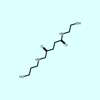 O=C(CCC(=O)NCCO)CNCCCO